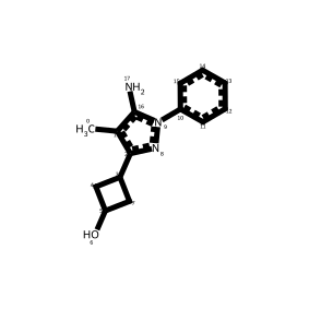 Cc1c(C2CC(O)C2)nn(-c2ccccc2)c1N